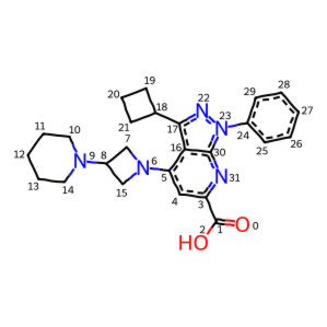 O=C(O)c1cc(N2CC(N3CCCCC3)C2)c2c(C3CCC3)nn(-c3ccccc3)c2n1